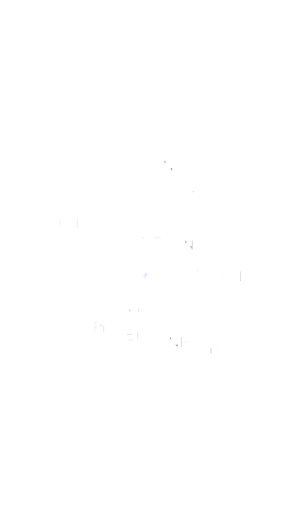 C\C=C/C=C(C(=C\CCC)\OCC)/C(C)=C/C(NCc1scnc1C)=C(C)\C(C=N)=C\CCC